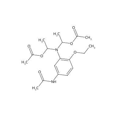 CCOc1ccc(NC(C)=O)cc1N(C(C)OC(C)=O)C(C)OC(C)=O